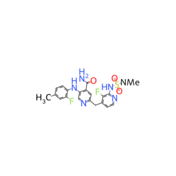 CNS(=O)(=O)Nc1nccc(Cc2cc(C(N)=O)c(Nc3ccc(C)cc3F)cn2)c1F